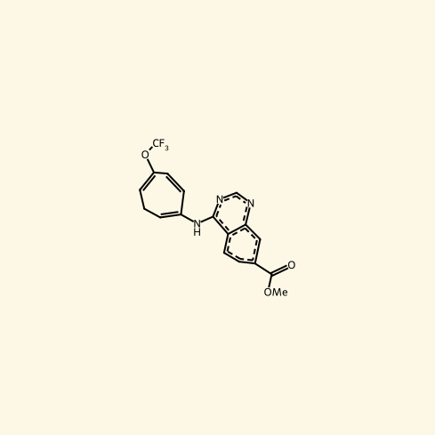 COC(=O)c1ccc2c(NC3=CCC=C(OC(F)(F)F)C=C3)ncnc2c1